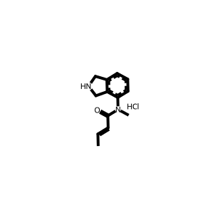 CC=CC(=O)N(C)c1cccc2c1CNC2.Cl